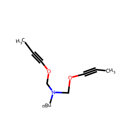 CC#COCN(CCCC)COC#CC